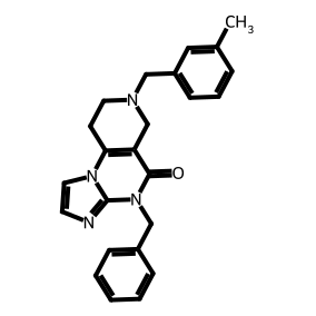 Cc1cccc(CN2CCc3c(c(=O)n(Cc4ccccc4)c4nccn34)C2)c1